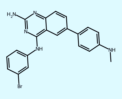 CNc1ccc(-c2ccc3nc(N)nc(Nc4cccc(Br)c4)c3c2)cc1